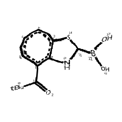 CC(C)(C)C(=O)c1cccc2c1NC(B(O)O)S2